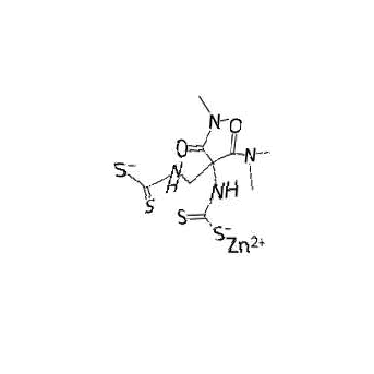 CN(C)C(=O)C(CNC(=S)[S-])(NC(=S)[S-])C(=O)N(C)C.[Zn+2]